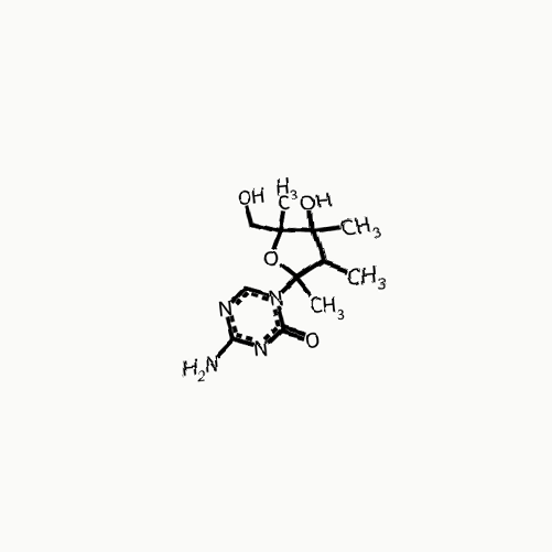 CC1C(C)(n2cnc(N)nc2=O)OC(C)(CO)C1(C)O